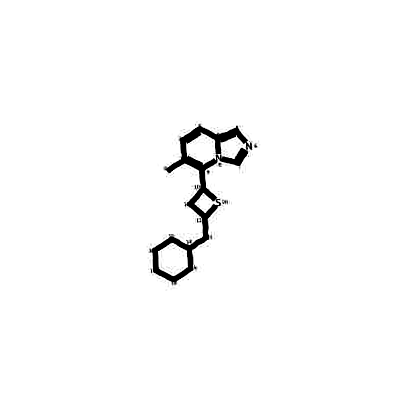 Cc1ccc2cncn2c1C1CC(CC2CCCCC2)S1